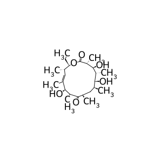 CC[C@H]1OC(=O)[C@H](C)[C@@H](O)[C@H](C)[C@@H](O)[C@@H](C)C[C@@H](C)C(=O)[C@H](C)[C@@H](O)/C(C)=C/[C@@H]1C